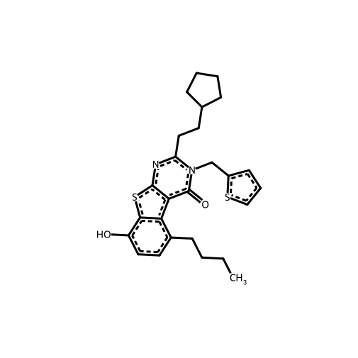 CCCCc1ccc(O)c2sc3nc(CCC4CCCC4)n(Cc4cccs4)c(=O)c3c12